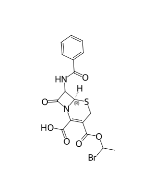 CC(Br)OC(=O)C1=C(C(=O)O)N2C(=O)C(NC(=O)c3ccccc3)[C@H]2SC1